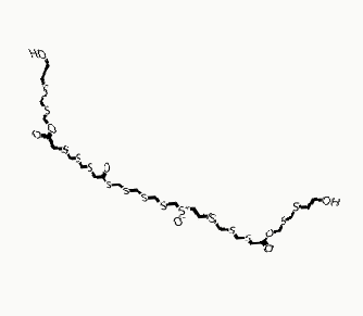 O=C(CSCSCSCC[S+]([O-])CSCSCSCSC(=O)CSCSCSCC(=O)OCSCSCCO)OCSCSCCO